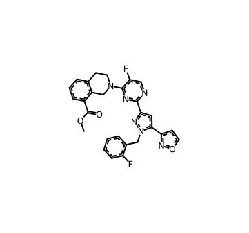 COC(=O)c1cccc2c1CN(c1nc(-c3cc(-c4ccon4)n(Cc4ccccc4F)n3)ncc1F)CC2